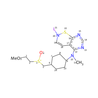 COCC[S+]([O-])CC1CCC(N(C)c2ncnc3c2C=CN(I)S3)CC1